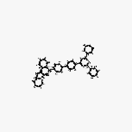 c1ccc(-c2cc(-c3ccc(-c4ccc(-c5nc6c(nc7ccccn76)c6ccccc56)cc4)cc3)nc(-c3ccccc3)n2)cc1